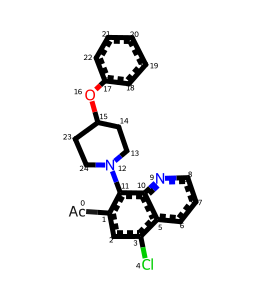 CC(=O)c1cc(Cl)c2cccnc2c1N1CCC(Oc2ccccc2)CC1